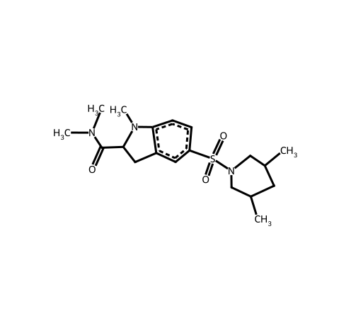 CC1CC(C)CN(S(=O)(=O)c2ccc3c(c2)CC(C(=O)N(C)C)N3C)C1